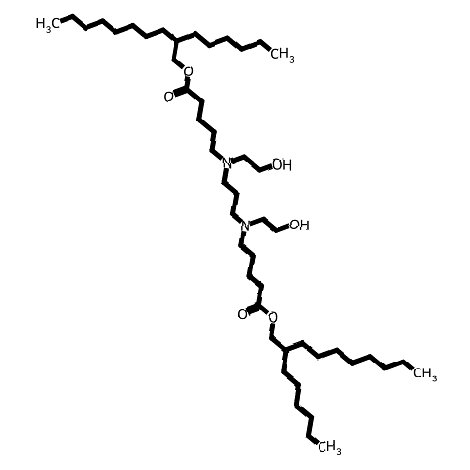 CCCCCCCCC(CCCCCC)COC(=O)CCCCN(CCO)CCCN(CCO)CCCCC(=O)OCC(CCCCCC)CCCCCCCC